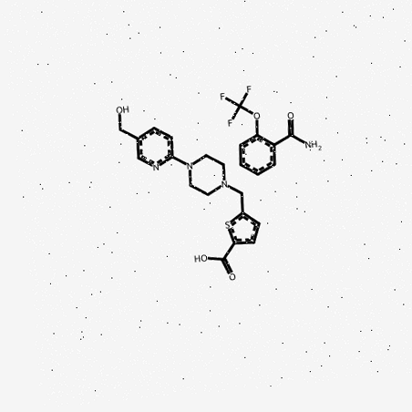 NC(=O)c1ccccc1OC(F)(F)F.O=C(O)c1ccc(CN2CCN(c3ccc(CO)cn3)CC2)s1